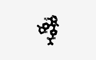 C=C(C)C(=O)Nc1ccc(-c2c(-c3ccc4c(c3)NCCN4C)c3c(N)ncnc3n2C)cc1